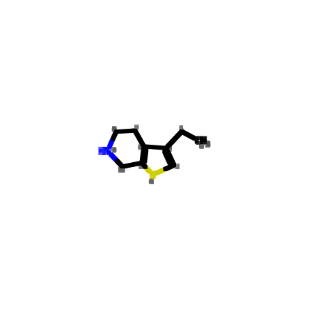 CCc1csc2c1CCNC2